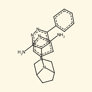 Nc1cc(N2C3CCC2CN(c2cc(-c4ccccc4)nnc2N)C3)ccn1